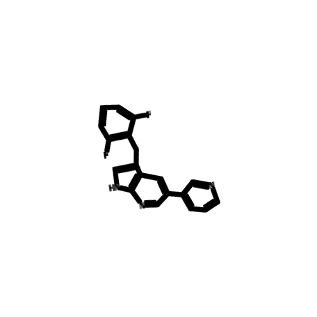 Fc1cccc(F)c1Cc1c[nH]c2ncc(-c3cccnc3)cc12